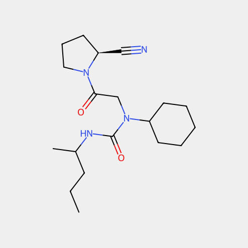 CCCC(C)NC(=O)N(CC(=O)N1CCC[C@H]1C#N)C1CCCCC1